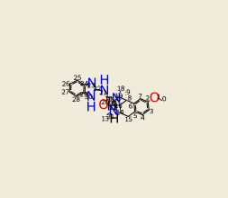 COc1ccc2c(c1)[C@]1(C)CCN(C)[C@H](C2)[C@@H]1N(C)C(=O)Nc1nc2ccccc2[nH]1